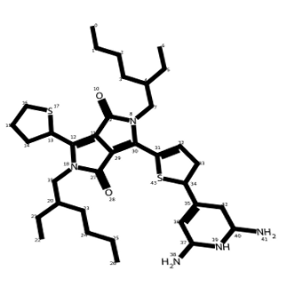 CCCCC(CC)CN1C(=O)C2=C(C3CCCS3)N(CC(CC)CCCC)C(=O)C2=C1C1=CCC(C2=CC(N)NC(N)C2)S1